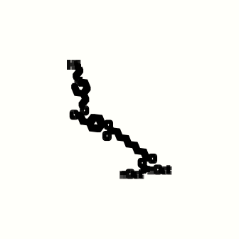 CCCCCCCCC(CCCCCCCC)OC(=O)CCCCCCCC(=O)Oc1ccc(CC(=O)OCCC2CCN(CCS)CC2)cc1